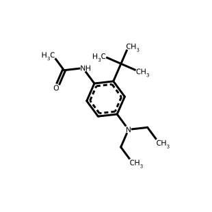 CCN(CC)c1ccc(NC(C)=O)c(C(C)(C)C)c1